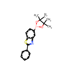 CC1(C)OB(c2ccc3sc(-c4ccccc4)nc3c2)OC1(C)C